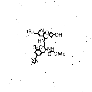 COCC(=O)N[C@@H](Cc1cc(F)cc(-c2nccs2)c1)[C@H](O)CN[C@H]1C[C@]2(C[C@H](O)C2)Oc2ncc(CC(C)(C)C)cc21